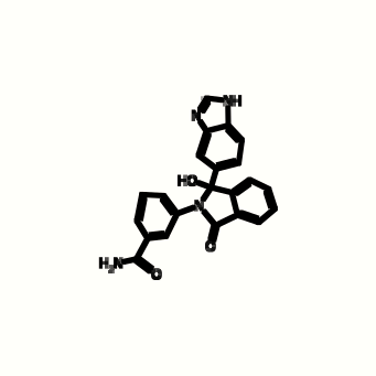 NC(=O)c1cccc(N2C(=O)c3ccccc3C2(O)c2ccc3[nH][c]nc3c2)c1